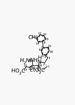 CCOC(=O)C[C@@H](Cc1ccc(-c2cccc(Cl)c2)cc1)NC(=O)/C(=C/CC(=O)O)NN